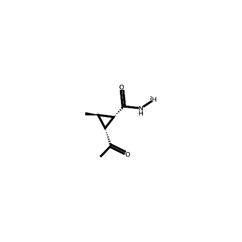 [2H]NC(=O)[C@H]1[C@H](C)[C@H]1C(C)=O